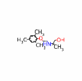 Cc1cc(C)c(OCCN[C@H](C)CO)c(C)c1